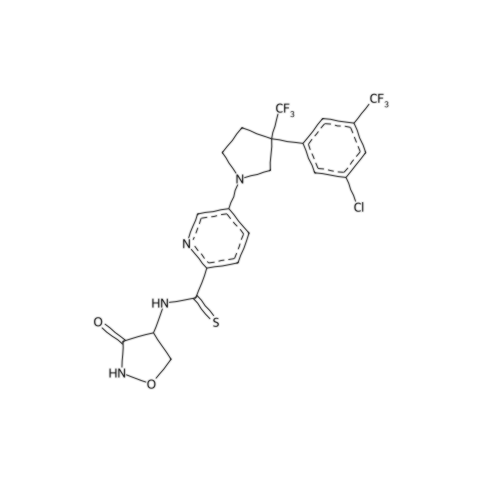 O=C1NOCC1NC(=S)c1ccc(N2CCC(c3cc(Cl)cc(C(F)(F)F)c3)(C(F)(F)F)C2)cn1